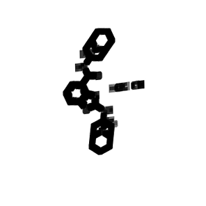 CN1C2CCCC1CC(NC(=O)c1cccc3oc(NC4CC5CCCC(C4)N5C)nc13)C2.Cl.Cl.Cl